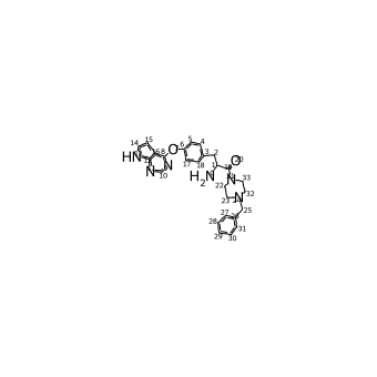 NC(Cc1ccc(Oc2ncnc3[nH]ccc23)cc1)C(=O)N1CCN(Cc2ccccc2)CC1